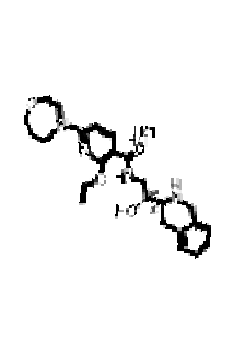 CCOc1nc(N2CCCOCC2)ccc1C(=O)NC[C@@H](O)[C@@H]1Cc2ccccc2CN1.Cl.Cl